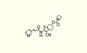 N#Cc1c(NC(=O)/C=C/c2cccnc2)sc2c1CCC(OC(=O)N1CCCC1)C2